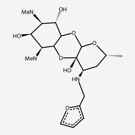 CN[C@@H]1[C@H](O)[C@H](NC)C2O[C@]3(O)C(OC2[C@H]1O)O[C@H](C)C[C@H]3NCc1ccco1